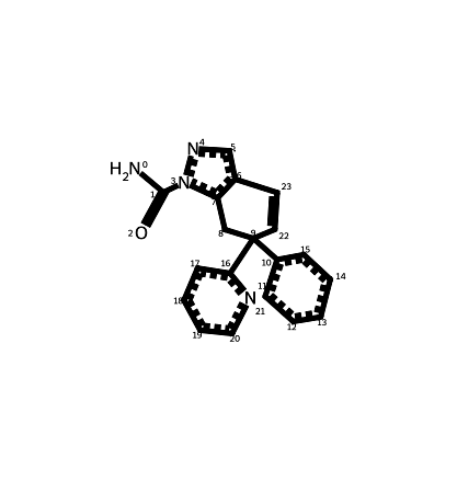 NC(=O)n1n[c]c2c1CC(c1ccccc1)(c1ccccn1)C=C2